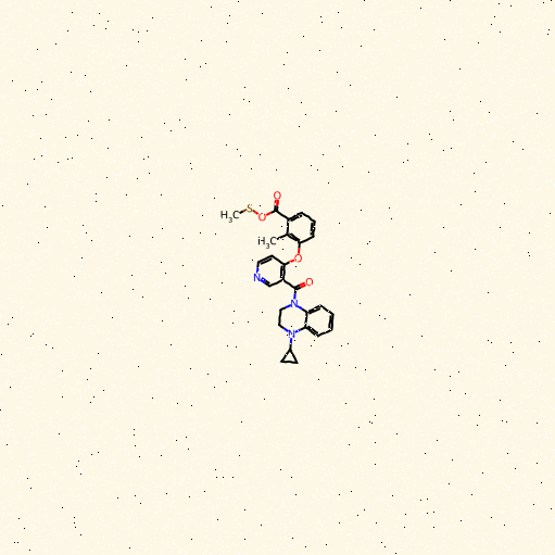 CSOC(=O)c1cccc(Oc2ccncc2C(=O)N2CCN(C3CC3)c3ccccc32)c1C